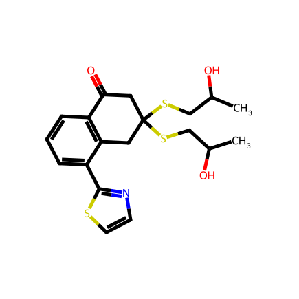 CC(O)CSC1(SCC(C)O)CC(=O)c2cccc(-c3nccs3)c2C1